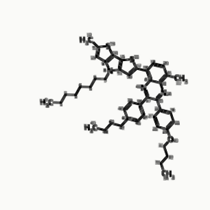 CCCCCCCCn1c2cc(C)sc2c2sc(-c3ccc(C)c4nc(-c5ccc(OCCCC)cc5)c(-c5ccc(CCCC)cc5)nc34)cc21